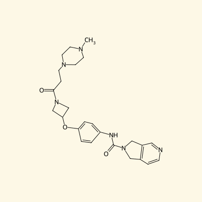 CN1CCN(CCC(=O)N2CC(Oc3ccc(NC(=O)N4Cc5ccncc5C4)cc3)C2)CC1